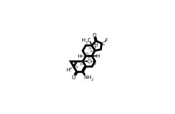 C[C@]12CC[C@H]3[C@@H](CCC4=C(N)C(=O)[C@H]5CC5[C@@]43C)[C@@H]1C[C@@H](F)C2=O